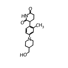 Cc1cc(N2CCC(CO)CC2)ccc1C1CCC(=O)NC1=O